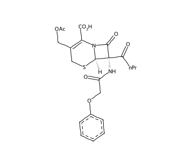 CCCC(=O)[C@]1(NC(=O)COc2ccccc2)C(=O)N2C(C(=O)O)=C(COC(C)=O)CS[C@@H]21